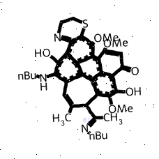 CCCC/N=C(\C)C1C(C)=Cc2c(NCCCC)c(O)c3c4c(c(OC)c5c6c7c(c(O)c(OC)c1c7c2c53)C(=O)C=C6OC)SCCN=4